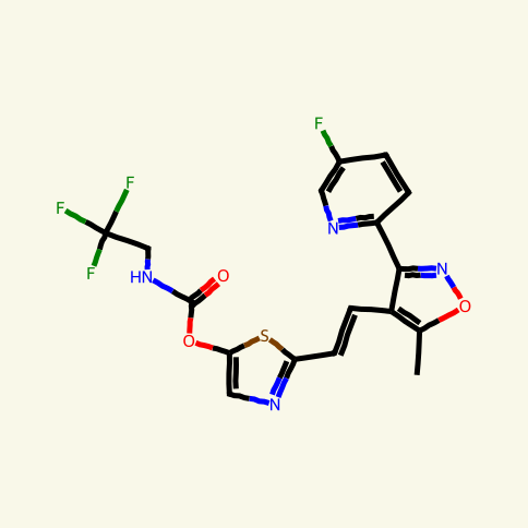 Cc1onc(-c2ccc(F)cn2)c1/C=C/c1ncc(OC(=O)NCC(F)(F)F)s1